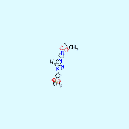 CC(OC(=O)N1CCC(N(C)Cc2cnc(-c3ccc(S(C)(=O)=O)cc3)cn2)CC1)C1CC1